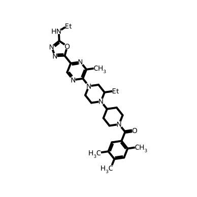 CCNc1nnc(-c2cnc(N3CCN(C4CCN(C(=O)c5cc(C)c(C)cc5C)CC4)C(CC)C3)c(C)n2)o1